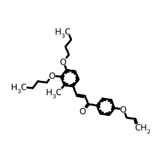 C=CCOc1ccc(C(=O)C=Cc2ccc(OCCCC)c(OCCCC)c2C)cc1